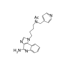 CC(=O)N(CCCCn1cnc2c(N)nc3ccccc3c21)Cc1ccncc1